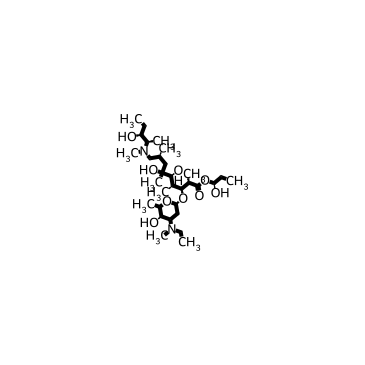 CC[C@H](O)OC(=O)[C@H](C)[C@@H](O[C@H]1CC(N(C)CC)[C@H](O)C(C)O1)[C@H](C)[C@@H](O)C(C)(O)C[C@@H](C)CN(C)[C@H](C)[C@@H](O)CC